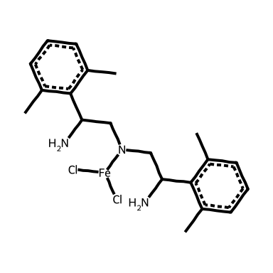 Cc1cccc(C)c1C(N)C[N](CC(N)c1c(C)cccc1C)[Fe]([Cl])[Cl]